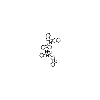 c1ccc(-c2nc(-c3ccc4oc5ccccc5c4c3)nc(-c3ccc(-n4c5cc6ccccc6cc5c5c6ccccc6ccc54)c4oc5ccccc5c34)n2)cc1